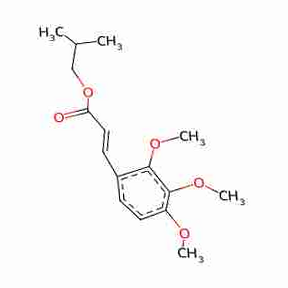 COc1ccc(C=CC(=O)OCC(C)C)c(OC)c1OC